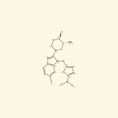 N[C@@H]1CN(c2nc3ccc(F)cc3n2Cc2nnc(C(F)F)s2)CC[C@H]1F